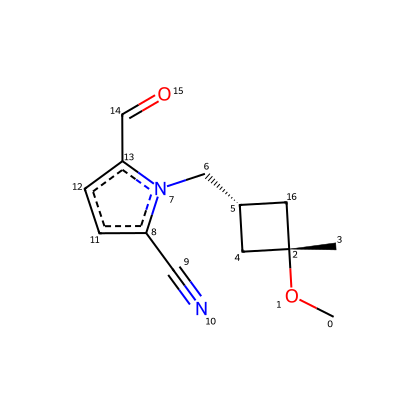 CO[C@]1(C)C[C@H](Cn2c(C#N)ccc2C=O)C1